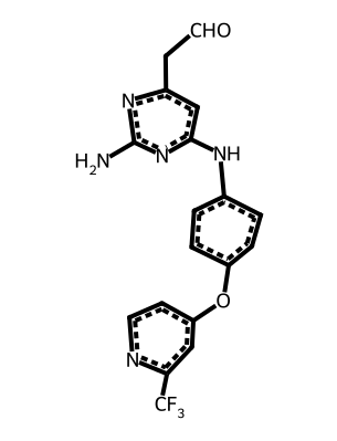 Nc1nc(CC=O)cc(Nc2ccc(Oc3ccnc(C(F)(F)F)c3)cc2)n1